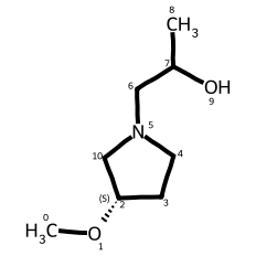 CO[C@H]1CCN(CC(C)O)C1